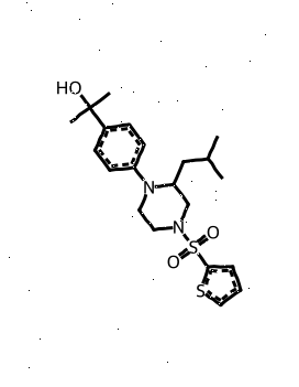 CC(C)CC1CN(S(=O)(=O)c2cccs2)CCN1c1ccc(C(C)(C)O)cc1